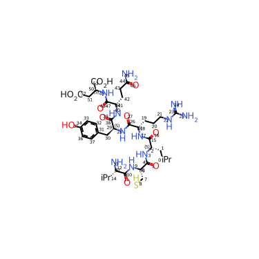 CC(C)C[C@H](NC(=O)[C@H](CS)NC(=O)[C@@H](N)C(C)C)C(=O)N[C@@H](CCCNC(=N)N)C(=O)N[C@@H](Cc1ccc(O)cc1)C(=O)N[C@@H](CCC(N)=O)C(=O)N[C@@H](CC(=O)O)C(=O)O